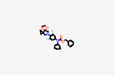 O=C(OCc1ccccc1)N(c1ccccc1)c1cc(F)c(N2CC3(CC3)C3(C2)OCCO3)c(F)c1